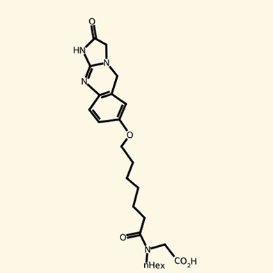 CCCCCCN(CC(=O)O)C(=O)CCCCCCOc1ccc2c(c1)CN1CC(=O)NC1=N2